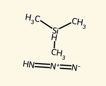 C[SiH](C)C.[N-]=[N+]=N